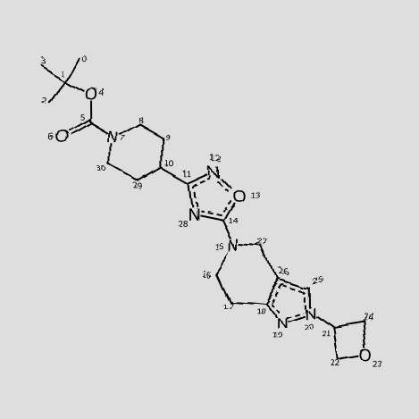 CC(C)(C)OC(=O)N1CCC(c2noc(N3CCc4nn(C5COC5)cc4C3)n2)CC1